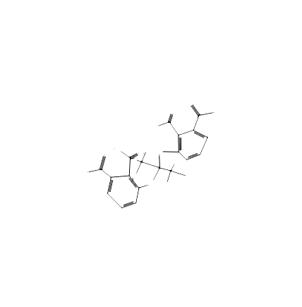 O=C(O)c1cccc(OC(Oc2cccc(C(=O)O)c2C(=O)O)(C(F)(F)F)C(F)(F)F)c1C(=O)O